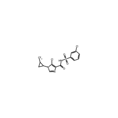 O=C(NS(=O)(=O)c1cccc(Cl)c1)c1ncn(C2CC2C(F)(F)F)c1Cl